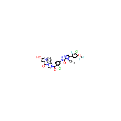 Cn1c(-c2ccc(OC(F)F)c(Cl)c2F)cnc1C(=O)Nc1ccc(C(=O)N2CCN(C(=O)[C@@H]3C[C@@H](O)C[N+]3(C)C)CC2)c(Cl)c1